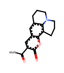 CNC(=O)c1cc2cc3c4c(c2oc1=O)CCCN4CCC3